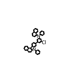 Clc1cc(-c2ccc3c4c5ccccc5ccc4n(-c4ccccc4)c3c2)cc(N(c2ccccc2)c2cccc3ccccc23)c1